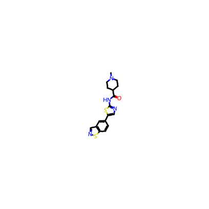 CN1CCC(C(=O)Nc2ncc(-c3ccc4sncc4c3)s2)CC1